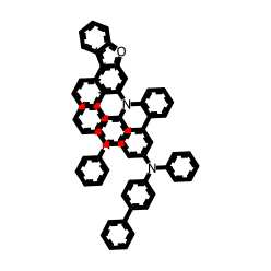 c1ccc(-c2ccc(N(c3ccccc3)c3cc(-c4ccccc4N(c4ccccc4)c4cc5oc6ccccc6c5c5ccccc45)cc(N(c4ccccc4)c4ccccc4)c3)cc2)cc1